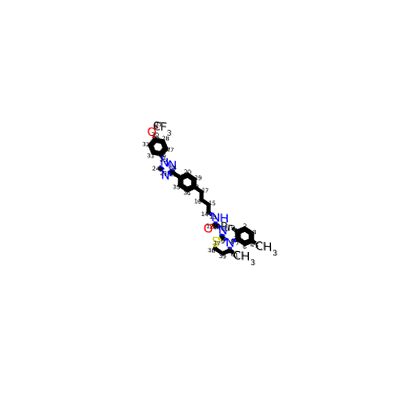 CCCc1ccc(C)cc1N1/C(=N/C(=O)NCCCCc2ccc(-c3ncn(-c4ccc(OC(F)(F)F)cc4)n3)cc2)SCCC1C